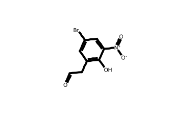 O=CCc1cc(Br)cc([N+](=O)[O-])c1O